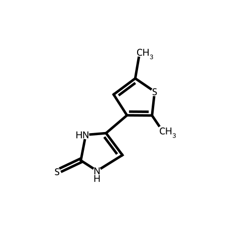 Cc1cc(-c2c[nH]c(=S)[nH]2)c(C)s1